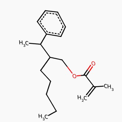 C=C(C)C(=O)OCC(CCCCC)C(C)c1ccccc1